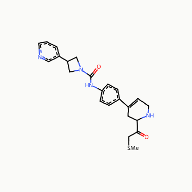 CSCC(=O)C1CC(c2ccc(NC(=O)N3CC(c4cccnc4)C3)cc2)=CCN1